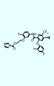 Cc1cc(F)ccc1Oc1cc(C2CC2)c(C(F)(F)F)cc1C(=O)Nc1ccc(F)c(OCCOC(=O)n2ccnc2)c1